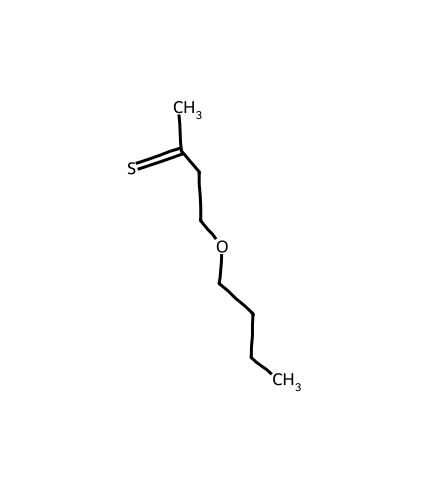 CCCCOCCC(C)=S